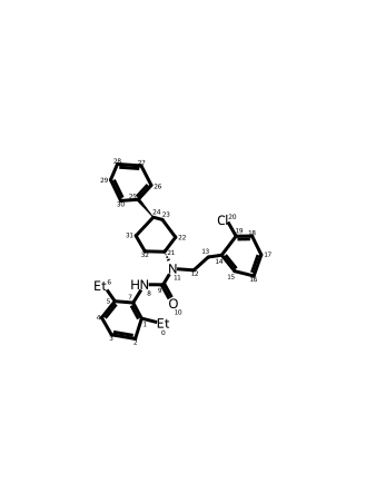 CCc1cccc(CC)c1NC(=O)N(CCc1ccccc1Cl)[C@H]1CC[C@H](c2ccccc2)CC1